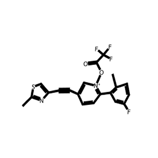 Cc1nc(C#Cc2ccc(-c3cc(F)ccc3C)[n+](OC(=O)C(F)(F)F)c2)cs1